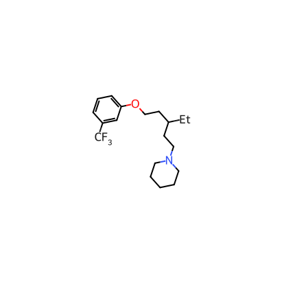 CCC(CCOc1cccc(C(F)(F)F)c1)CCN1CCCCC1